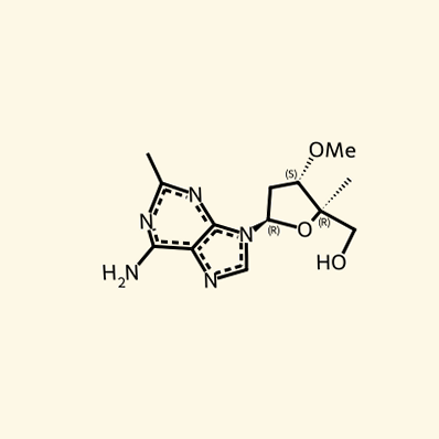 CO[C@H]1C[C@H](n2cnc3c(N)nc(C)nc32)O[C@]1(C)CO